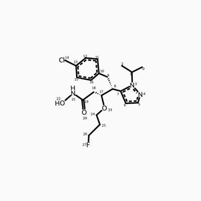 CC(C)n1nccc1[C@@H](Cc1ccc(Cl)cc1)[C@@H](CC(=O)NO)OCCCF